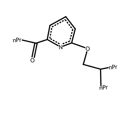 CCCC(=O)c1cccc(OCC(CCC)CCC)n1